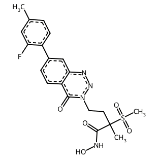 Cc1ccc(-c2ccc3c(=O)n(CCC(C)(C(=O)NO)S(C)(=O)=O)nnc3c2)c(F)c1